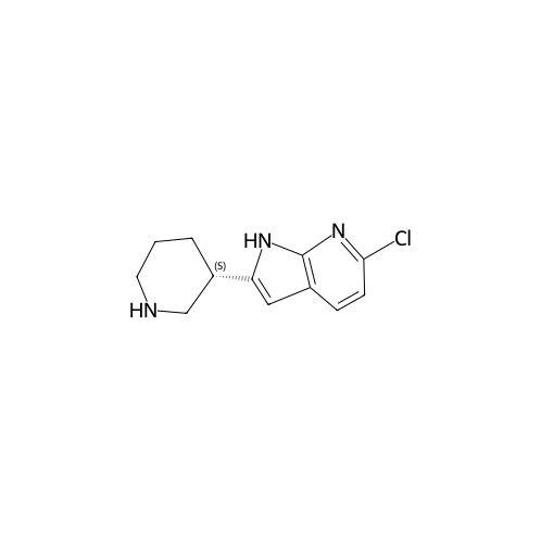 Clc1ccc2cc([C@H]3CCCNC3)[nH]c2n1